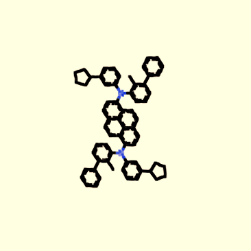 Cc1c(-c2ccccc2)cccc1N(c1cccc(C2CCCC2)c1)c1ccc2ccc3c(N(c4cccc(C5CCCC5)c4)c4cccc(-c5ccccc5)c4C)ccc4ccc1c2c43